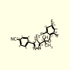 CCn1c(-c2ccc(C#N)cc2)nnc1C(C)(C)Oc1c(F)cc(F)cc1F